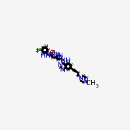 CN1CCN(CCC#Cc2ccc3c(Nc4cc(CC(=O)Nc5cccc(F)c5)[nH]n4)ncnc3c2)CC1